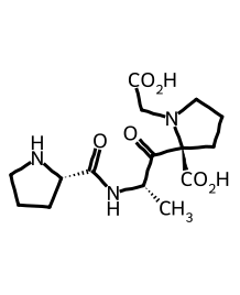 C[C@H](NC(=O)[C@@H]1CCCN1)C(=O)[C@@]1(C(=O)O)CCCN1CC(=O)O